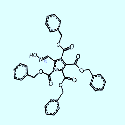 O=C(OCc1ccccc1)c1c(C(=O)OCc2ccccc2)c(C(=O)OCc2ccccc2)n(C(=O)OCc2ccccc2)c1/C=N/O